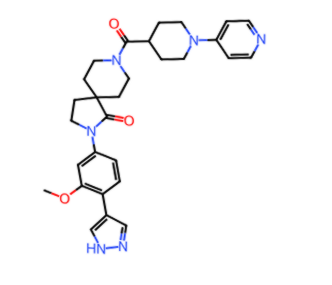 COc1cc(N2CCC3(CCN(C(=O)C4CCN(c5ccncc5)CC4)CC3)C2=O)ccc1-c1cn[nH]c1